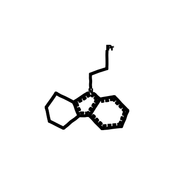 CC(C)CCn1c2c(c3ccccc31)CCCC2